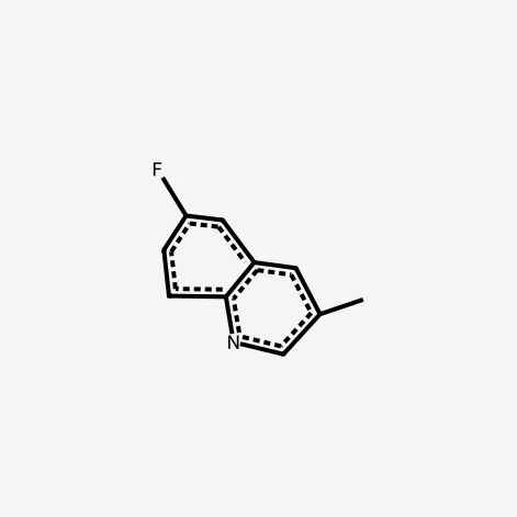 Cc1cnc2ccc(F)cc2c1